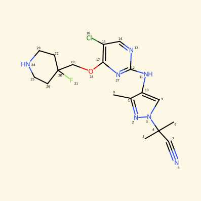 Cc1nn(C(C)(C)C#N)cc1Nc1ncc(Cl)c(OCC2(F)CCNCC2)n1